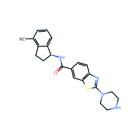 N#Cc1cccc2c1CC[C@@H]2NC(=O)c1ccc2nc(N3CCNCC3)sc2c1